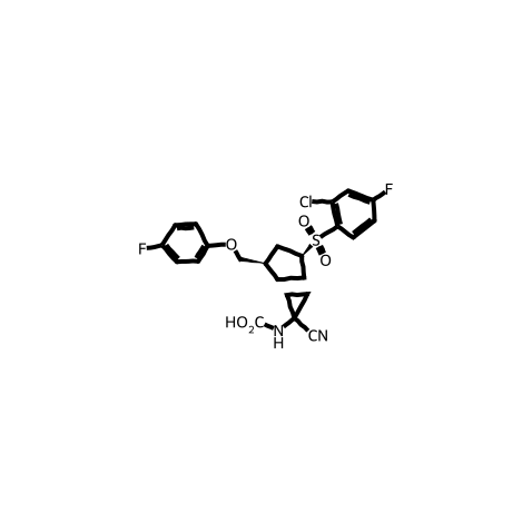 N#CC1(NC(=O)O)CC1.O=S(=O)(c1ccc(F)cc1Cl)[C@H]1CC[C@@H](COc2ccc(F)cc2)C1